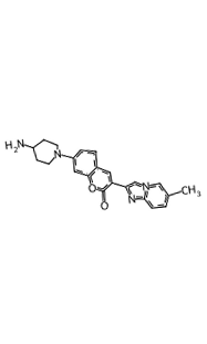 Cc1ccc2nc(-c3cc4ccc(N5CCC(N)CC5)cc4oc3=O)cn2c1